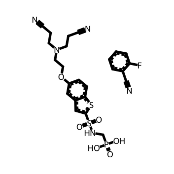 N#CCCN(CCC#N)CCOc1ccc2sc(S(=O)(=O)NCP(=O)(O)O)cc2c1.N#Cc1ccccc1F